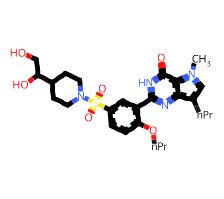 CCCOc1ccc(S(=O)(=O)N2CCC(C(O)CO)CC2)cc1-c1nc2c(CCC)cn(C)c2c(=O)[nH]1